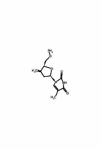 C=C1C[C@H](n2cc(C)c(=O)[nH]c2=O)O[C@@H]1COP